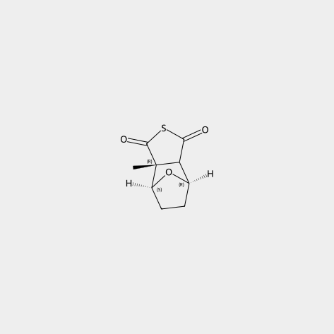 C[C@@]12C(=O)SC(=O)C1[C@H]1CC[C@@H]2O1